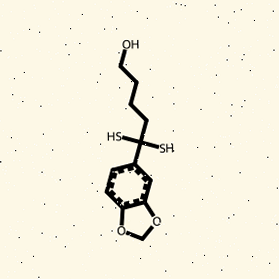 OCCCCC(S)(S)c1ccc2c(c1)OCO2